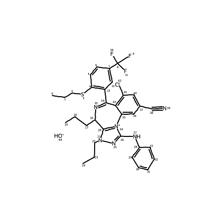 CCCSc1ccc(C(F)(F)F)cc1C1=NC(CCC)c2n(CCC)nc(Nc3ccccc3)[n+]2-c2cc(C#N)cc(Cl)c21.[OH-]